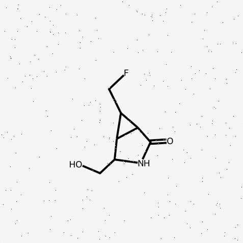 O=C1NC(CO)C2C(CF)C12